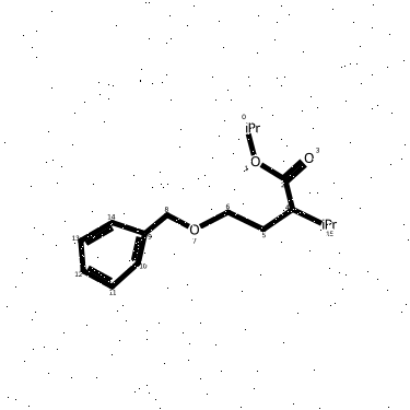 CC(C)OC(=O)C(CCOCc1ccccc1)C(C)C